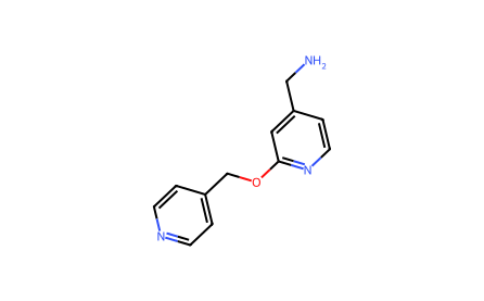 NCc1ccnc(OCc2ccncc2)c1